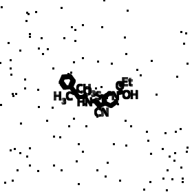 CCOC(O)N1CCc2c(sc(NC(=O)CC(C)(C)c3ccccc3)c2C#N)C1